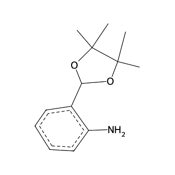 CC1(C)OC(c2ccccc2N)OC1(C)C